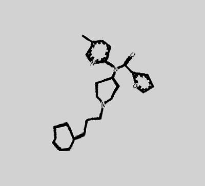 Cc1ccc(N(C(=O)c2ccco2)C2CCN(CCCC3CCCCC3)CC2)nc1